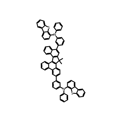 CC1(C)c2cc(-c3cccc(N(c4ccccc4)c4cccc5c4sc4ccccc45)c3)c3ccccc3c2-c2c1c1ccc(-c3cccc(N(c4ccccc4)c4cccc5c4sc4ccccc45)c3)cc1c1ccccc21